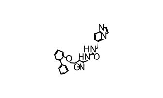 O=C(NCC1=NOC(COc2ccccc2-c2ccccc2)C1)NCc1ccc2nccn2c1